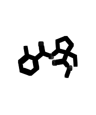 CCC1(C(=O)OC)CCCC1OC(=O)c1ccccc1C